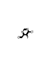 O=Cc1ncnc(Cl)c1F